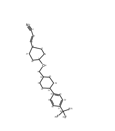 N#CC=CC1CCC(OCC2CCC(c3ccc(C(F)(F)F)cc3)CC2)CC1